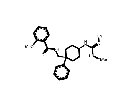 CNN/C(=N/C#N)N[C@H]1CC[C@](CNC(=O)c2ccccc2OC)(c2ccccc2)CC1